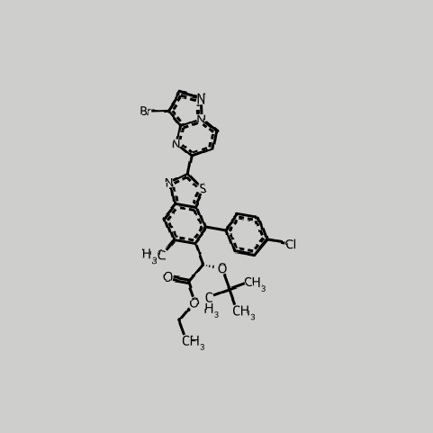 CCOC(=O)[C@@H](OC(C)(C)C)c1c(C)cc2nc(-c3ccn4ncc(Br)c4n3)sc2c1-c1ccc(Cl)cc1